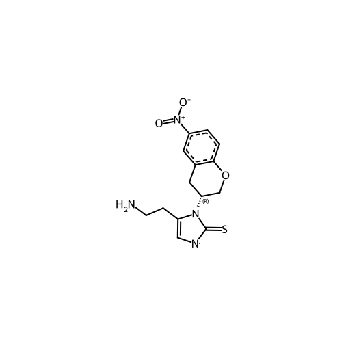 NCCC1=C[N]C(=S)N1[C@H]1COc2ccc([N+](=O)[O-])cc2C1